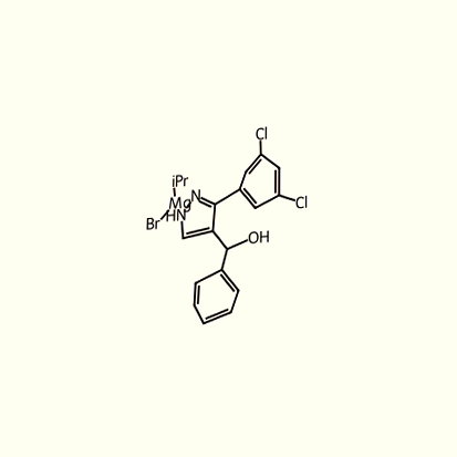 C[CH](C)[Mg][Br].OC(c1ccccc1)c1c[nH]nc1-c1cc(Cl)cc(Cl)c1